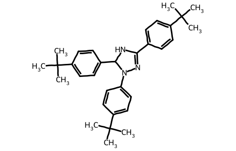 CC(C)(C)c1ccc(C2=NN(c3ccc(C(C)(C)C)cc3)C(c3ccc(C(C)(C)C)cc3)N2)cc1